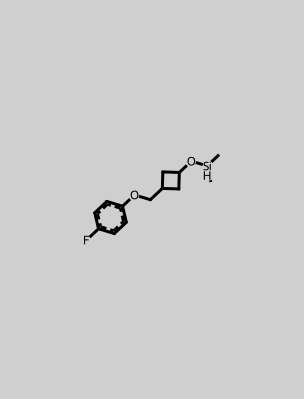 C[SiH](C)OC1CC(COc2ccc(F)cc2)C1